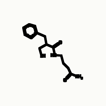 NC(=O)CCCNC(=O)C(CS)Cc1ccccc1